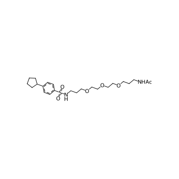 CC(=O)NCCCOCCOCCOCCCNS(=O)(=O)c1ccc(C2CCCC2)cc1